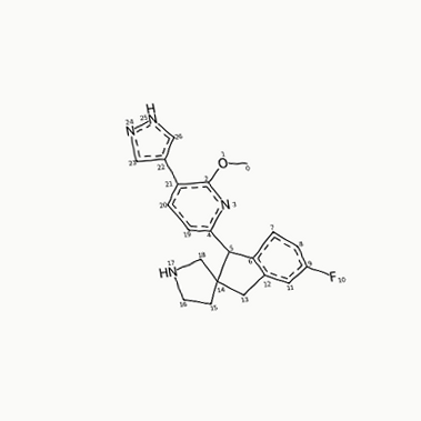 COc1nc(C2c3ccc(F)cc3CC23CCNC3)ccc1-c1cn[nH]c1